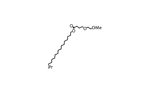 COCCOCCCC(=O)OCCCCCCCCCCCCCCCC(C)C